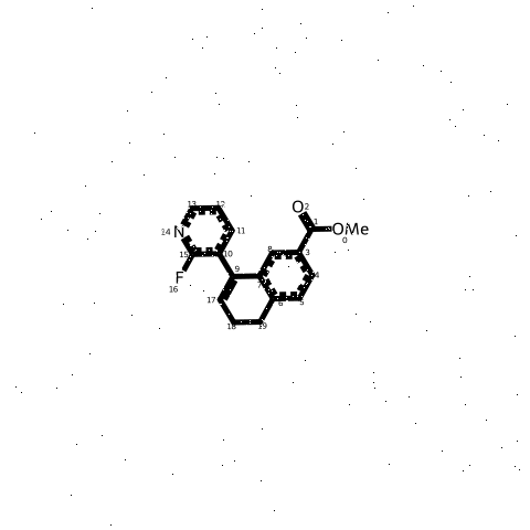 COC(=O)c1ccc2c(c1)C(c1cccnc1F)=CCC2